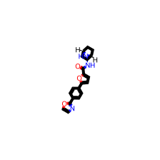 O=C(N[C@@H]1C[C@H]2CC[C@@H]1N2)c1ccc(-c2ccc(-c3ncco3)cc2)o1